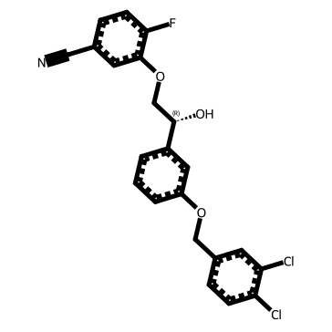 N#Cc1ccc(F)c(OC[C@H](O)c2cccc(OCc3ccc(Cl)c(Cl)c3)c2)c1